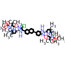 COC(=O)N[C@H](C(=O)N1[C@H](C)[C@H](C)C[C@H]1c1nc(Cl)c(-c2ccc3cc(-c4ccc5nc([C@@H]6C[C@@H](C)[C@@H](C)N6C(=O)[C@@H](NC(=O)OC)C(C)C)[nH]c5c4)ccc3c2)[nH]1)C(C)C